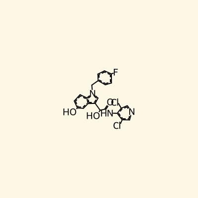 O=C(Nc1c(Cl)cncc1Cl)C(O)c1cn(Cc2ccc(F)cc2)c2ccc(O)cc12